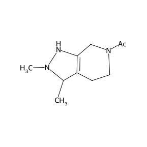 CC(=O)N1CCC2=C(C1)NN(C)C2C